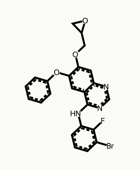 Fc1c(Br)cccc1Nc1ncnc2cc(OCC3CO3)c(Oc3ccccc3)cc12